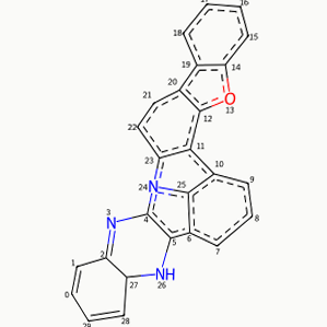 C1=CC2=Nc3c(c4cccc5c6c7oc8ccccc8c7ccc6n3c45)NC2C=C1